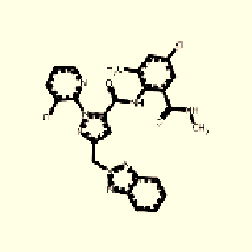 CNC(=O)c1cc(Cl)cc(C)c1NC(=O)c1cc(Cn2nc3ccccc3n2)nn1-c1ncccc1Cl